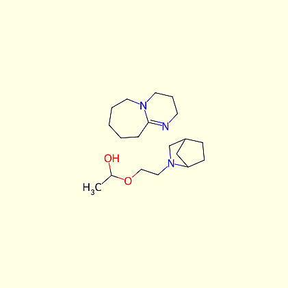 C1CCC2=NCCCN2CC1.CC(O)OCCN1CC2CCC1C2